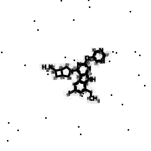 CCc1cc(F)cc2c1[nH]c1nc(Oc3cncnc3)nc(N3CC4CC(N)C4C3)c12